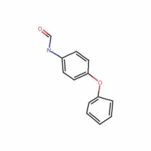 O=C[N]c1ccc(Oc2ccccc2)cc1